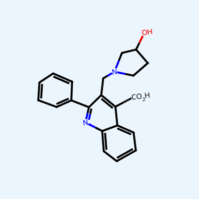 O=C(O)c1c(CN2CCC(O)C2)c(-c2ccccc2)nc2ccccc12